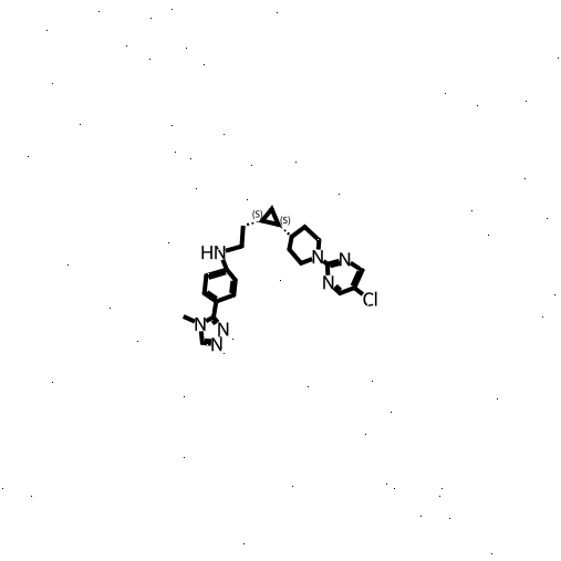 Cn1cnnc1-c1ccc(NCC[C@@H]2C[C@@H]2C2CCN(c3ncc(Cl)cn3)CC2)cc1